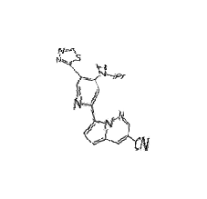 CC(C)Nc1cc(-c2ccc3cc(C#N)cnn23)ncc1-c1nncs1